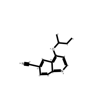 CCC(C)Oc1ccnc2ccc(C#N)cc12